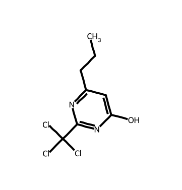 CCCc1cc(O)nc(C(Cl)(Cl)Cl)n1